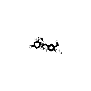 Cc1ccc(CC(C)[C@]23CCC(=O)C[C@H]2OCO3)cc1C=O